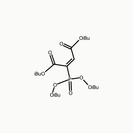 CC(C)COOP(=O)(OOCC(C)C)/C(=C/C(=O)OCC(C)C)C(=O)OCC(C)C